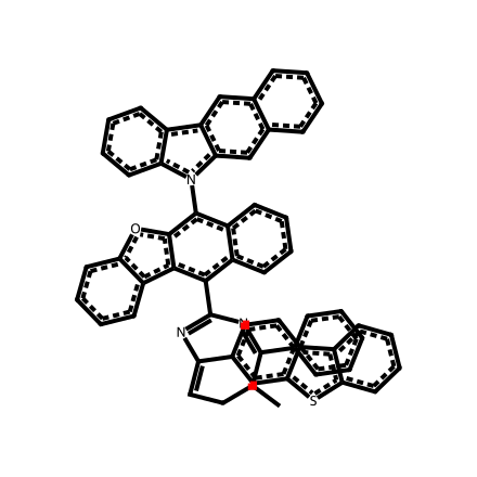 CC1C/C=C(c2ccc3c(c2)sc2ccccc23)/N=C(c2c3ccccc3c(-n3c4ccccc4c4cc5ccccc5cc43)c3oc4ccccc4c23)\N=C/1c1ccccc1